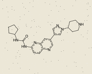 O=C(Nc1ccc2ncc(-c3cnn(C4CCNCC4)c3)cc2n1)NC1CCCC1